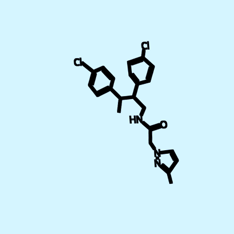 Cc1ccn(CC(=O)NCC(c2ccc(Cl)cc2)C(C)c2ccc(Cl)cc2)n1